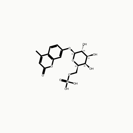 Cc1cc(=O)oc2cc(O[C@@H]3O[C@H](COP(=O)(O)O)[C@H](O)[C@H](O)[C@H]3O)ccc12